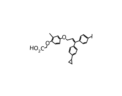 Cc1cc(OCC=C(c2ccc(I)cc2)c2ccc(C3CC3)cc2)ccc1OCC(=O)O